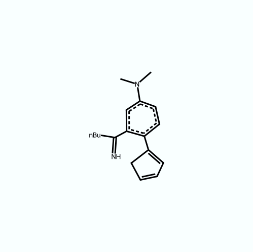 CCCCC(=N)c1cc(N(C)C)ccc1C1=CC=CC1